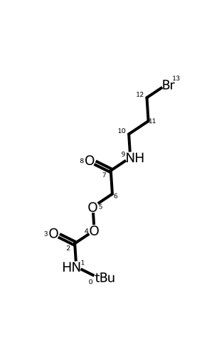 CC(C)(C)NC(=O)OOCC(=O)NCCCBr